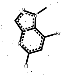 Cn1ncc2nc(Cl)cc(Br)c21